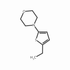 CCc1ccc(N2CCOCC2)s1